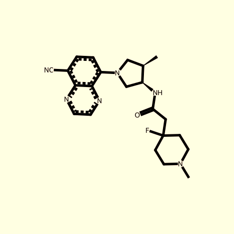 C[C@@H]1CN(c2ccc(C#N)c3nccnc23)C[C@@H]1NC(=O)CC1(F)CCN(C)CC1